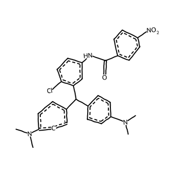 CN(C)c1ccc(C(c2ccc(N(C)C)cc2)c2cc(NC(=O)c3ccc([N+](=O)[O-])cc3)ccc2Cl)cc1